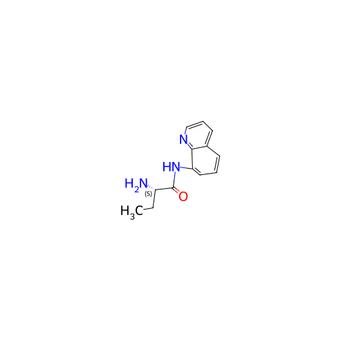 CC[C@H](N)C(=O)Nc1cccc2cccnc12